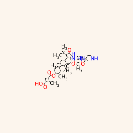 CC(C)C1=C2C3CCC4C(C)(CCC5C(C)C(OC(=O)C6CC(C(=O)O)C6C)CCC54C)C3CCC2(NC(=O)C(C)(C)C(=O)NC2CCNCC2)CC1=O